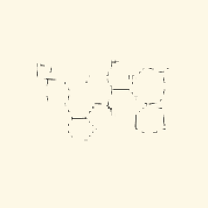 NC(N)C(C(=O)N[C@H]1CNCCC1N1CCC2(CC1)COC2)C1CC2(CCCCC2)CCC(F)CN1